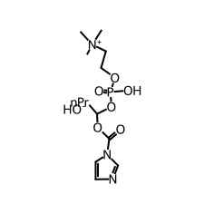 CCCC(OC(=O)n1ccnc1)OP(=O)(O)OCC[N+](C)(C)C.[OH-]